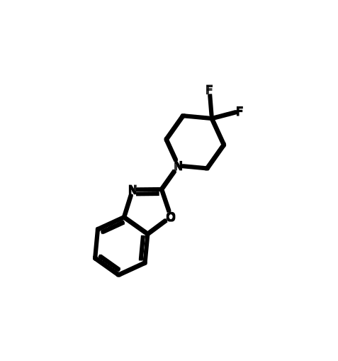 FC1(F)CCN(c2nc3ccccc3o2)CC1